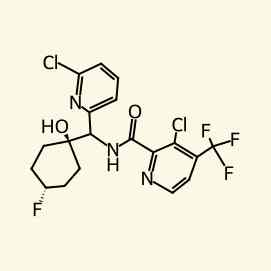 O=C(NC(c1cccc(Cl)n1)[C@]1(O)CC[C@H](F)CC1)c1nccc(C(F)(F)F)c1Cl